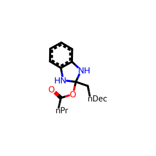 CCCCCCCCCCCC1(OC(=O)CCC)Nc2ccccc2N1